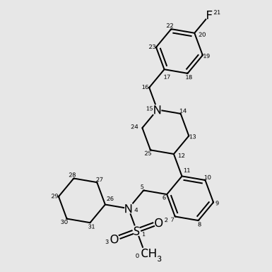 CS(=O)(=O)N(Cc1ccccc1C1CCN(Cc2ccc(F)cc2)CC1)C1CCCCC1